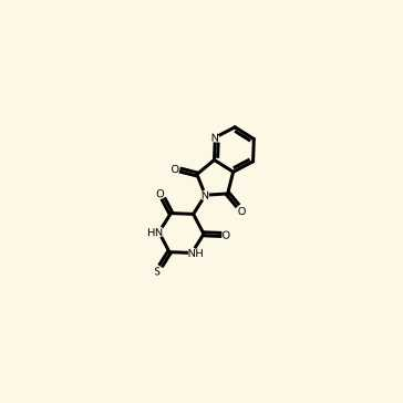 O=C1NC(=S)NC(=O)C1N1C(=O)c2cccnc2C1=O